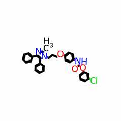 Cc1nc(-c2ccccc2)c(-c2ccccc2)n1CCCOc1ccc(NC(=O)Oc2cccc(Cl)c2)cc1